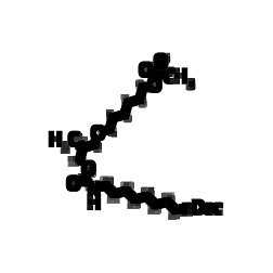 C=C(COCCCCCCOS(C)(=O)=O)COC(=O)NCCCCCCCCCCCCCCCCCC